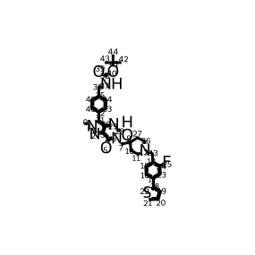 Cn1nc2c(=O)n(CC3(O)CCN(Cc4ccc(-c5cccs5)cc4F)CC3)cnc2c1-c1ccc(CNC(=O)OC(C)(C)C)cc1